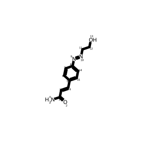 NC(=O)C=Cc1ccc(N=NCCO)cc1